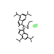 CC[CH]1[CH2][Zr+2]1([CH]1C(C)=Cc2c(C(C)C)cc(C(C)C)cc21)[CH]1C(C)=Cc2c(C(C)C)cc(C(C)C)cc21.[Cl-].[Cl-]